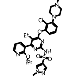 CCc1c(Oc2cccc(N3CCN(C)CC3)c2Cl)nc(NS(=O)(=O)c2cnn(C)c2)nc1-c1cccnc1OC(C)C